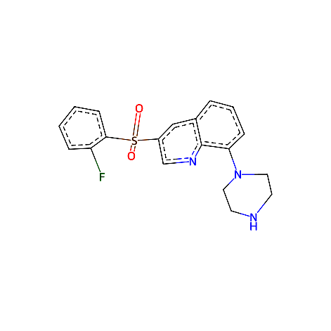 O=S(=O)(c1cnc2c(N3CCNCC3)cccc2c1)c1ccccc1F